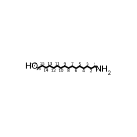 NCCCCCCCCCCCCCCCCO